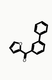 O=C(c1cccc(-c2ccccc2)c1)c1ccco1